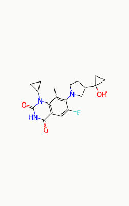 Cc1c(N2CCC(C3(O)CC3)C2)c(F)cc2c(=O)[nH]c(=O)n(C3CC3)c12